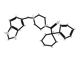 O=C(N1CCN(Cc2ccc3c(c2)OCO3)CC1)C1(c2ccccc2)CCCCC1